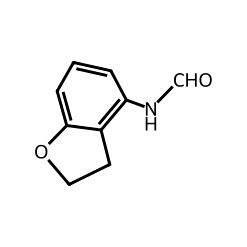 O=CNc1cccc2c1CCO2